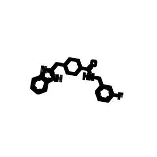 O=C(NCc1cccc(F)c1)C1CCC(Cc2nc3ccccc3[nH]2)CC1